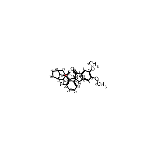 COc1cc2c(cc1OC)C(=O)C(CC1(F)CC3CCC(C1)N3Cc1c(F)cccc1[N+](=O)[O-])C2